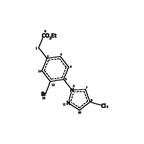 CCOC(=O)Cc1ccc(-n2cc(Cl)cn2)c(Br)c1